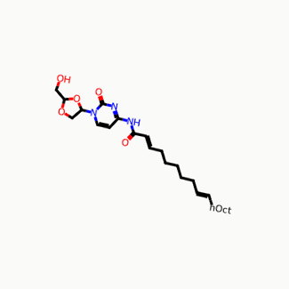 CCCCCCCCC=CCCCCCC=CC(=O)Nc1ccn(C2COC(CO)O2)c(=O)n1